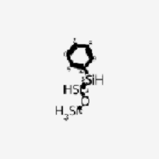 [SiH3]O[SiH]=[SiH]c1ccccc1